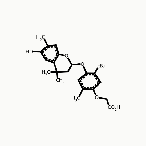 Cc1cc2c(cc1O)C(C)(C)C[C@H](Oc1cc(C)c(OCC(=O)O)cc1C(C)(C)C)O2